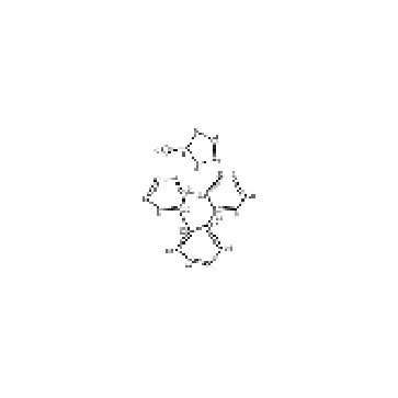 O=C1CCCC1.c1ccc2c(c1)c1ccccc1c1ccccc21